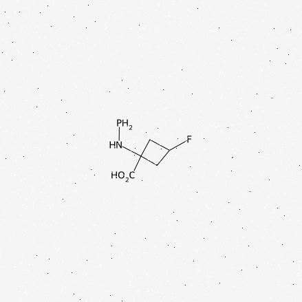 O=C(O)C1(NP)CC(F)C1